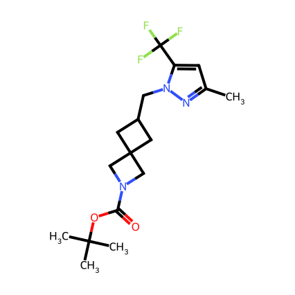 Cc1cc(C(F)(F)F)n(CC2CC3(C2)CN(C(=O)OC(C)(C)C)C3)n1